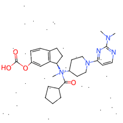 CN(C)c1nccc(N2CCC([N+](C)(C(=O)C3CCCC3)[C@@H]3CCc4ccc(OC(=O)O)cc43)CC2)n1